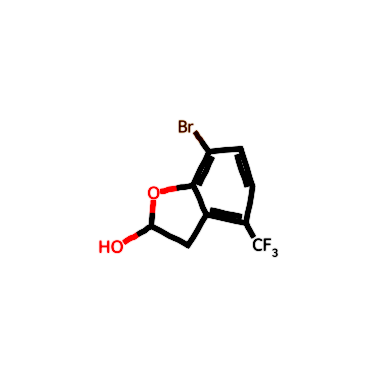 OC1Cc2c(C(F)(F)F)ccc(Br)c2O1